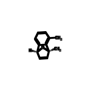 Cc1cccc2c1[C@@]1(C)C=C[C@@H]2O1